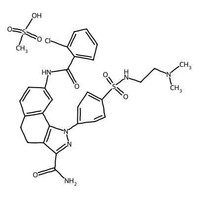 CN(C)CCNS(=O)(=O)c1ccc(-n2nc(C(N)=O)c3c2-c2cc(NC(=O)c4ccccc4Cl)ccc2CC3)cc1.CS(=O)(=O)O